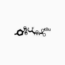 Cc1ccc(S(=O)(=O)N(C)CC(F)CONC(=O)OC(C)(C)C)cc1